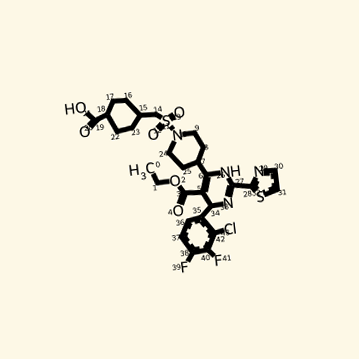 CCOC(=O)C1=C(C2CCN(S(=O)(=O)CC3CCC(C(=O)O)CC3)CC2)NC(c2nccs2)=NC1c1ccc(F)c(F)c1Cl